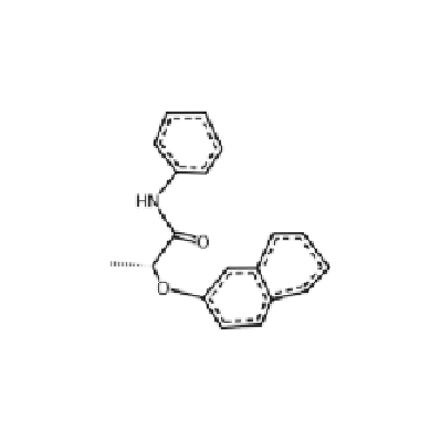 C[C@@H](Oc1ccc2ccccc2c1)C(=O)Nc1ccccc1